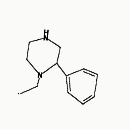 [CH2]CN1CCNCC1c1ccccc1